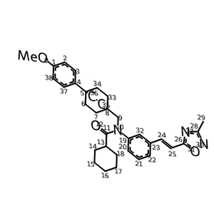 COc1ccc(C23CCC(CN(C(=O)C4CCCCC4)c4cccc(/C=C/c5nc(C)no5)c4)(CC2)CC3)cc1